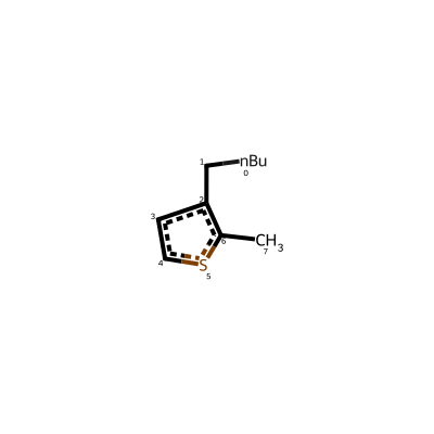 CCCCCc1ccsc1C